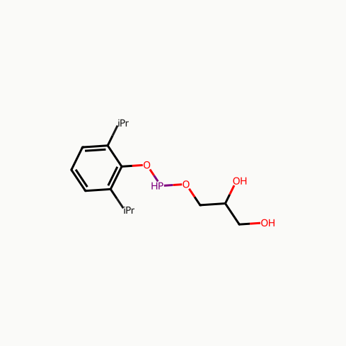 CC(C)c1cccc(C(C)C)c1OPOCC(O)CO